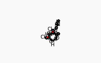 COC[C@@H]1NC(=O)[C@H](C)N(Cc2ccc(Cl)cc2Oc2ccc(-c3cnc(C(C)N4CCCC4)n3C)cc2)C(=O)C[C@@H](Cc2ccccc2)C(=O)N(C)[C@@H](C)CNC(=O)C[C@H](Cc2ccc(Cl)cc2)N(C)C1=O